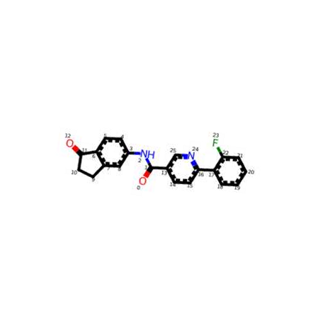 O=C(Nc1ccc2c(c1)CCC2=O)c1ccc(-c2ccccc2F)nc1